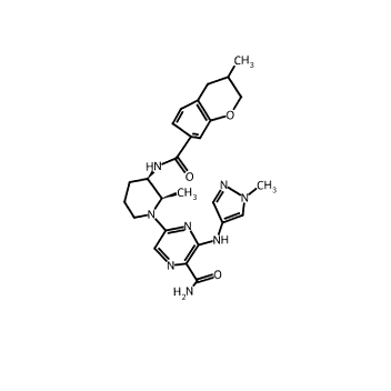 CC1COc2cc(C(=O)N[C@@H]3CCCN(c4cnc(C(N)=O)c(Nc5cnn(C)c5)n4)[C@@H]3C)ccc2C1